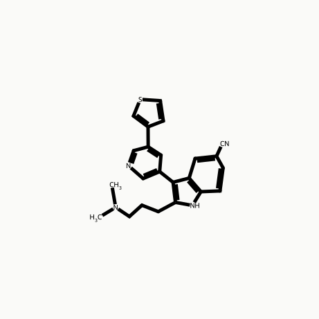 CN(C)CCCc1[nH]c2ccc(C#N)cc2c1-c1cncc(-c2ccsc2)c1